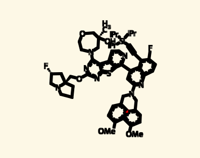 COc1ccc(CN(Cc2ccc(OC)cc2)c2cc(-c3nccc4c3sc3nc(OC[C@@]56CCCN5C[C@H](F)C6)nc(N5CCOC[C@@](C)(O)C5)c34)c3c(C#C[Si](C(C)C)(C(C)C)C(C)C)c(F)ccc3n2)cc1